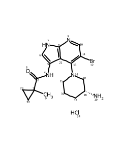 CC1(C(=O)Nc2c[nH]c3ncc(Br)c(N4CCC[C@@H](N)C4)c23)CC1.Cl